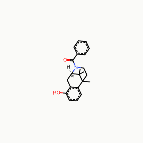 CC12CCN(C(=O)c3ccccc3)[C@H](Cc3c(O)cccc31)C2(C)C